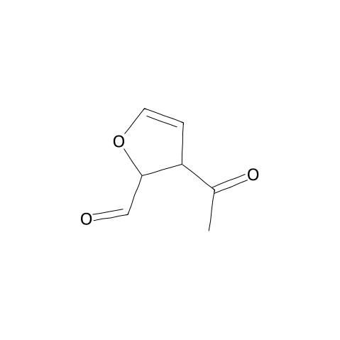 CC(=O)C1C=COC1C=O